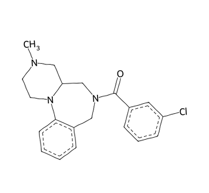 CN1CCN2c3ccccc3CN(C(=O)c3cccc(Cl)c3)CC2C1